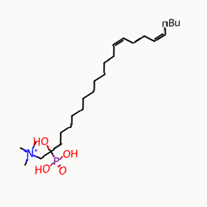 CCCC/C=C\CC/C=C\CCCCCCCCCCCC(O)(C[N+](C)(C)C)P(=O)(O)O